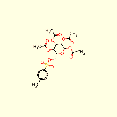 CC(=O)OC1O[C@H](COS(=O)(=O)c2ccc(C)cc2)[C@@H](OC(C)=O)[C@H](OC(C)=O)[C@@H]1OC(C)=O